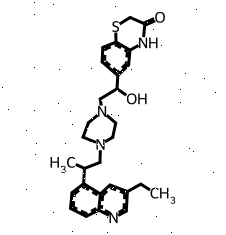 CCc1cnc2cccc(C(C)CN3CCN(CC(O)c4ccc5c(c4)NC(=O)CS5)CC3)c2c1